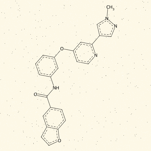 Cn1cc(-c2cc(Oc3cccc(NC(=O)c4ccc5occc5c4)c3)ccn2)cn1